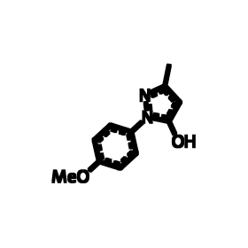 COc1ccc(-n2nc(C)cc2O)cc1